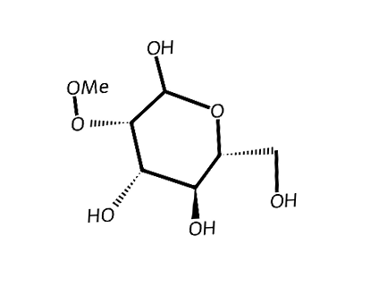 COO[C@@H]1C(O)O[C@H](CO)[C@@H](O)[C@@H]1O